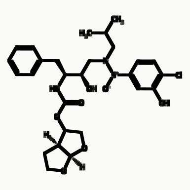 CC(C)CN(C[C@@H](O)[C@H](Cc1ccccc1)NC(=O)OC1CO[C@H]2OCC[C@@H]12)[S+]([O-])c1ccc(Cl)c(O)c1